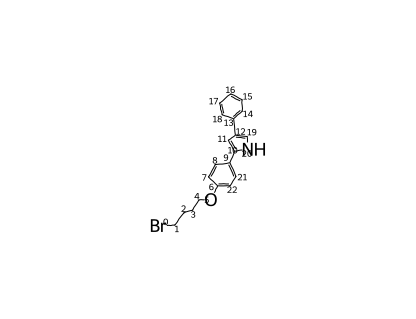 BrCCCCOc1ccc(-c2cc(-c3ccccc3)c[nH]2)cc1